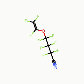 N#CC(F)(F)C(F)(F)C(F)(F)OC(F)=C(F)F